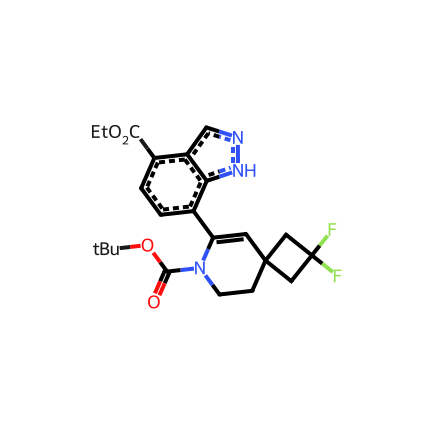 CCOC(=O)c1ccc(C2=CC3(CCN2C(=O)OC(C)(C)C)CC(F)(F)C3)c2[nH]ncc12